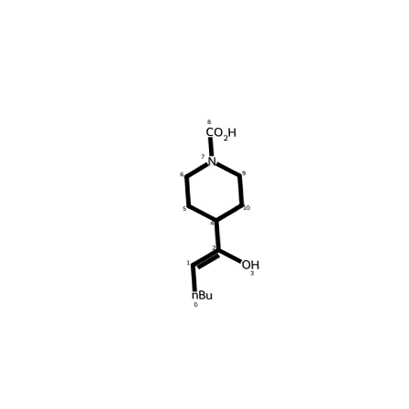 CCCCC=C(O)C1CCN(C(=O)O)CC1